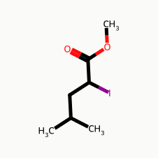 COC(=O)C(I)CC(C)C